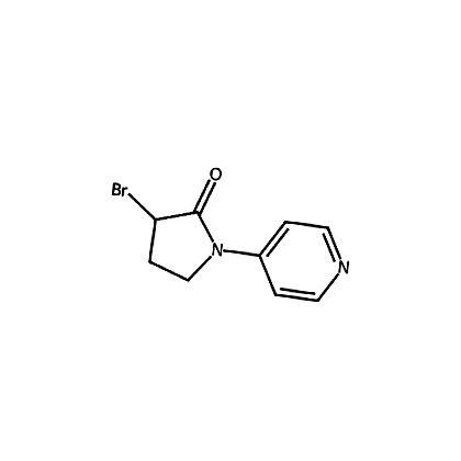 O=C1C(Br)CCN1c1ccncc1